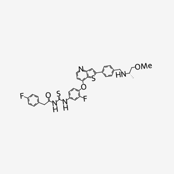 COC[C@H](C)NCc1ccc(-c2cc3nccc(Oc4ccc(NC(=S)NC(=O)Cc5ccc(F)cc5)cc4F)c3s2)cc1